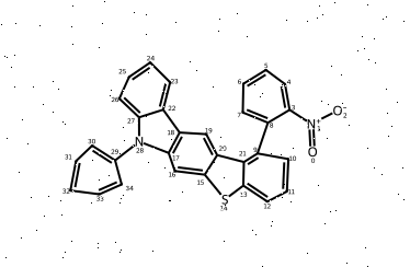 O=[N+]([O-])c1ccccc1-c1cccc2sc3cc4c(cc3c12)c1ccccc1n4-c1ccccc1